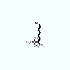 CC(=CCCC=CC#N)[N+](C)(C)C